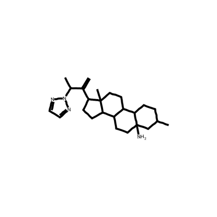 C=C(C(C)n1nccn1)C1CCC2C3CCC4(N)CC(C)CCC4C3CCC12C